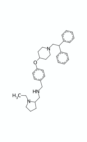 CCN1CCCC1CNCc1ccc(OC2CCN(CC(c3ccccc3)c3ccccc3)CC2)cc1